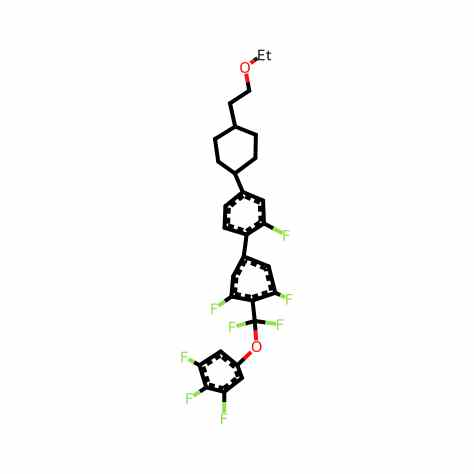 CCOCCC1CCC(c2ccc(-c3cc(F)c(C(F)(F)Oc4cc(F)c(F)c(F)c4)c(F)c3)c(F)c2)CC1